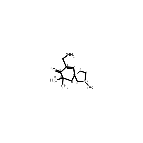 CC(=O)N1CC[C@]2(C=C(CN)C(=O)C(C)(C)C2)C1